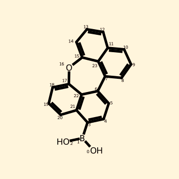 OB(O)c1ccc2c3cccc4cccc(oc5cccc1c52)c43